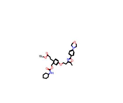 Cc1oc(-c2ccc(N3CCOCC3)cc2)nc1CCOc1ccc(CCC(=O)OC(C)(C)C)c(COC(=O)NC2CCCCC2)c1